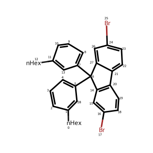 CCCCCCc1cccc(C2(c3cccc(CCCCCC)c3)c3cc(Br)ccc3-c3ccc(Br)cc32)c1